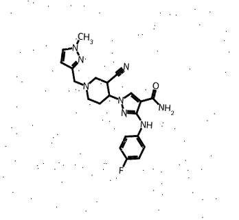 Cn1ccc(CN2CCC(n3cc(C(N)=O)c(Nc4ccc(F)cc4)n3)C(C#N)C2)n1